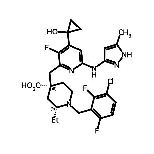 CC[C@@H]1C[C@](Cc2nc(Nc3cc(C)[nH]n3)cc(C3(O)CC3)c2F)(C(=O)O)CCN1Cc1c(F)ccc(Cl)c1F